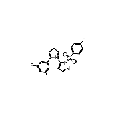 O=S(=O)(c1ccc(F)cc1)n1nccc1N1CCCC1c1cc(F)cc(F)c1